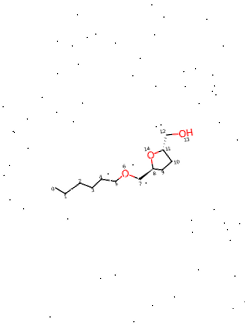 CCCCCCOC[C@@H]1CC[C@@H](CO)O1